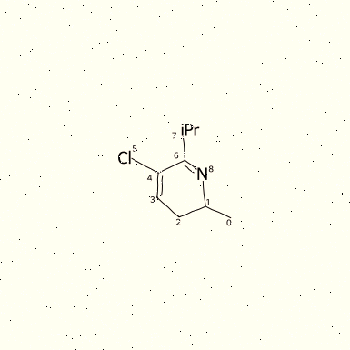 CC1CC=C(Cl)C(C(C)C)=N1